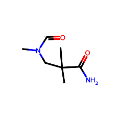 CN([C]=O)CC(C)(C)C(N)=O